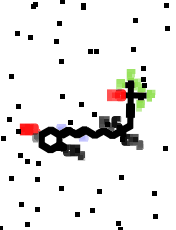 C=C1CC[C@H](O)C/C1=C/C=C/CCCC(C)(C)CC#CC(O)(C(F)(F)F)C(F)(F)F